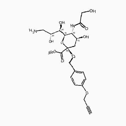 C#CCOc1ccc(CO[C@]2(C(=O)OC)C[C@H](O)[C@@H](NC(=O)CO)[C@H]([C@H](O)[C@H](O)CN)O2)cc1